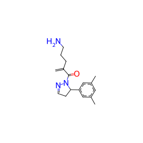 C=C(CCCN)C(=O)N1N=CCC1c1cc(C)cc(C)c1